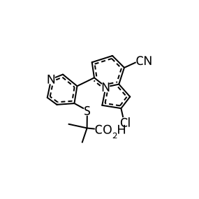 CC(C)(Sc1ccncc1-c1ccc(C#N)c2cc(Cl)cn12)C(=O)O